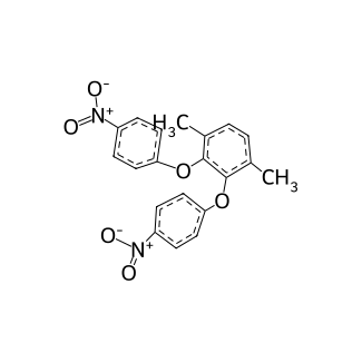 Cc1ccc(C)c(Oc2ccc([N+](=O)[O-])cc2)c1Oc1ccc([N+](=O)[O-])cc1